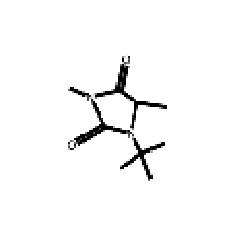 CC1C(=O)N(C)C(=O)N1C(C)(C)C